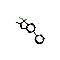 CC1=Cc2cc(-c3ccccc3)ccc2C1(Cl)Cl.[Ti]